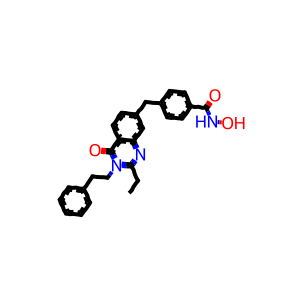 CCc1nc2cc(Cc3ccc(C(=O)NO)cc3)ccc2c(=O)n1CCc1ccccc1